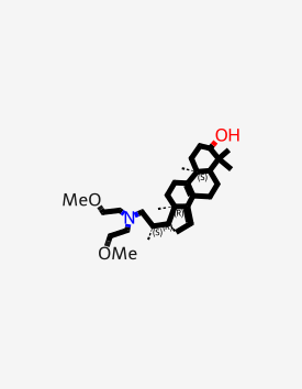 COCCN(CCOC)C[C@@H](C)[C@H]1CC=C2C3=C(CC[C@@]21C)[C@@]1(C)CCC(O)C(C)(C)C1CC3